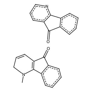 CN1CC=CC2=C1c1ccccc1C2=O.O=C1c2ccccc2-c2ncccc21